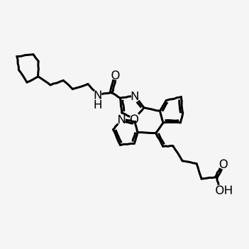 O=C(O)CCCCC=C(c1cccnc1)c1ccccc1-c1nc(C(=O)NCCCCC2CCCCC2)co1